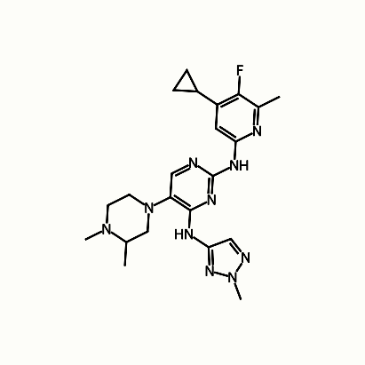 Cc1nc(Nc2ncc(N3CCN(C)C(C)C3)c(Nc3cnn(C)n3)n2)cc(C2CC2)c1F